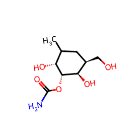 CC1C[C@@H](CO)[C@@H](O)[C@H](OC(N)=O)[C@@H]1O